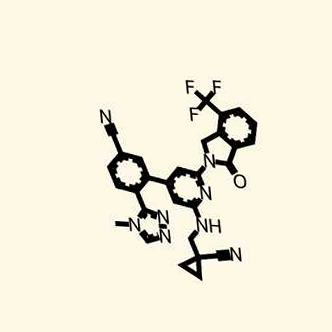 Cn1cnnc1-c1ccc(C#N)cc1-c1cc(NCC2(C#N)CC2)nc(N2Cc3c(cccc3C(F)(F)F)C2=O)c1